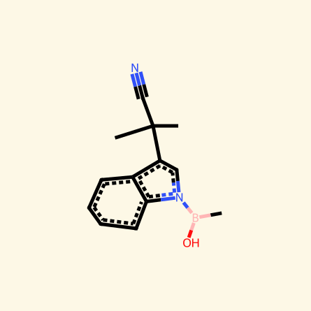 CB(O)n1cc(C(C)(C)C#N)c2ccccc21